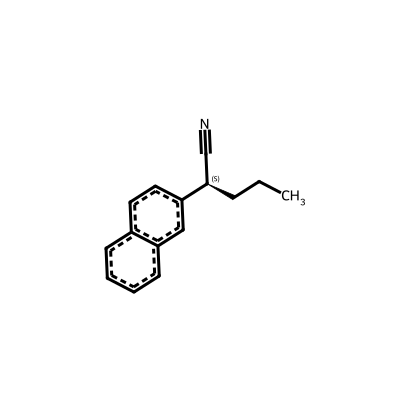 CCC[C@H](C#N)c1ccc2ccccc2c1